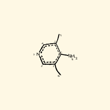 Cc1cncc(C)c1N